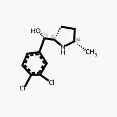 C[C@H]1CC[C@@H]([C@@H](O)c2ccc(Cl)c(Cl)c2)N1